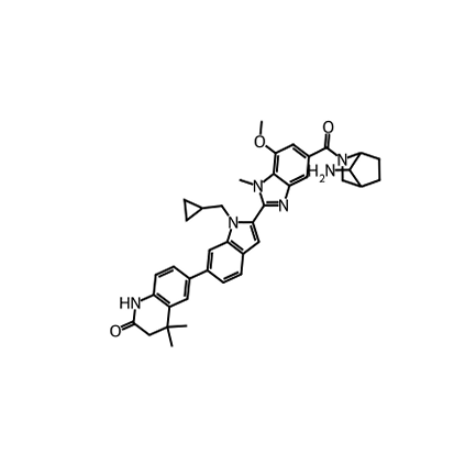 COc1cc(C(=O)N2CC3CCC2C3N)cc2nc(-c3cc4ccc(-c5ccc6c(c5)C(C)(C)CC(=O)N6)cc4n3CC3CC3)n(C)c12